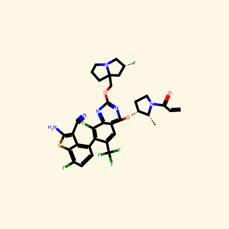 C=CC(=O)N1CC[C@@H](Oc2nc(OCC34CCCN3C[C@H](F)C4)nc3c(F)c(-c4ccc(F)c5sc(N)c(C#N)c45)c(C(F)(F)F)cc23)[C@H]1C